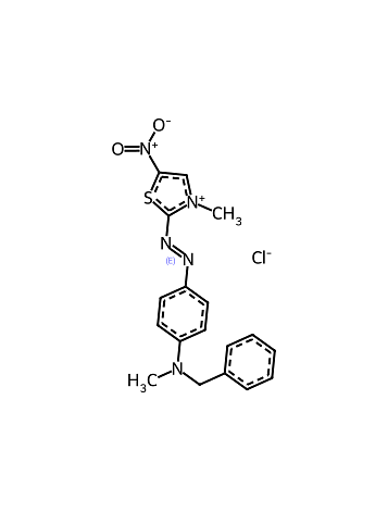 CN(Cc1ccccc1)c1ccc(/N=N/c2sc([N+](=O)[O-])c[n+]2C)cc1.[Cl-]